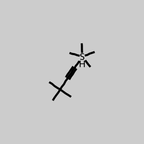 CC(C)(C)C#C[SH](C)(C)(C)C